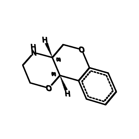 c1ccc2c(c1)OC[C@@H]1NCCO[C@H]21